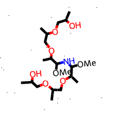 COC(NC(OC)C(C)OCC(C)OCC(C)O)C(C)OCC(C)OCC(C)O